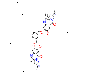 C/C=C1\C[C@H]2C=Nc3cc(OCc4cccc(COc5cc6c(cc5OC)C(=O)N5C/C(=C/C)C[C@H]5C=N6)c4)c(OC)cc3C(=O)N2C1